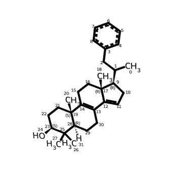 CC(Cc1ccccc1)[C@H]1CC=C2C3=C(CC[C@@]21C)[C@@]1(C)CC[C@H](O)C(C)(C)[C@@H]1CC3